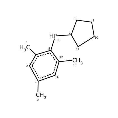 Cc1cc(C)c(PC2CCCC2)c(C)c1